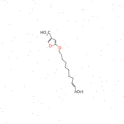 CCCCCCCCC=CCCCCCCCCOc1cc(C(=O)O)co1